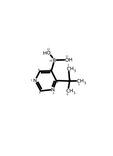 CC(C)(C)c1ncncc1B(O)O